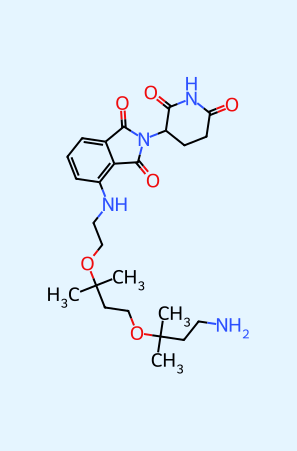 CC(C)(CCN)OCCC(C)(C)OCCNc1cccc2c1C(=O)N(C1CCC(=O)NC1=O)C2=O